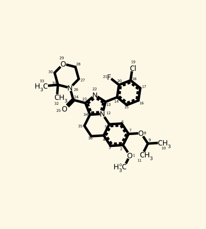 COc1cc2c(cc1OC(C)C)-n1c(-c3cccc(Cl)c3F)nc(C(=O)N3CCOCC3(C)C)c1CC2